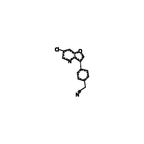 N#CCc1ccc(-c2coc3cc(Cl)cnc23)cc1